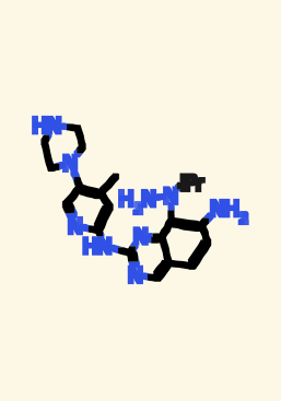 Cc1cc(Nc2ncc3ccc(N)c(N(N)C(C)C)c3n2)ncc1N1CCNCC1